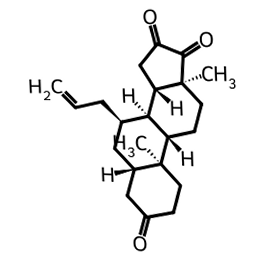 C=CC[C@@H]1C[C@H]2CC(=O)CC[C@]2(C)[C@H]2CC[C@]3(C)C(=O)C(=O)C[C@H]3[C@H]12